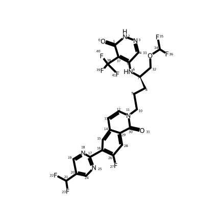 O=c1[nH]ncc(N[C@H](CCCn2ccc3cc(-c4ncc(C(F)F)cn4)c(F)cc3c2=O)COC(F)F)c1C(F)(F)F